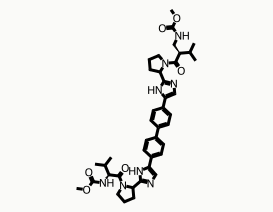 COC(=O)NC[C@H](C(=O)N1CCCC1c1ncc(-c2ccc(-c3ccc(-c4cnc(C5CCCN5C(=O)[C@@H](NC(=O)OC)C(C)C)[nH]4)cc3)cc2)[nH]1)C(C)C